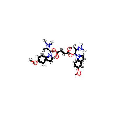 COc1ccc2c(ccn2C(OC(=O)/C=C/C(=O)OC(C(C)N(C)C)n2ccc3cc(OC)ccc32)C(C)N(C)C)c1